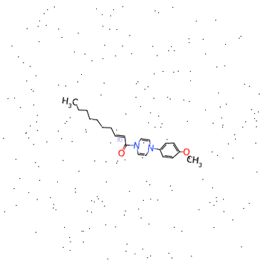 CCCCCCC/C=C/C(=O)N1C=CN(c2ccc(OC)cc2)C=C1